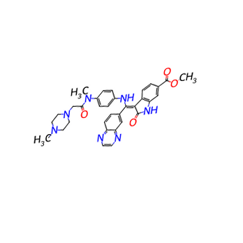 COC(=O)c1ccc2c(c1)NC(=O)C2=C(Nc1ccc(N(C)C(=O)CN2CCN(C)CC2)cc1)c1ccc2nccnc2c1